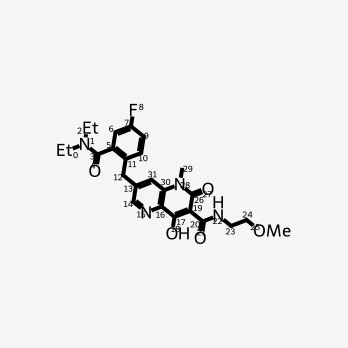 CCN(CC)C(=O)c1cc(F)ccc1Cc1cnc2c(O)c(C(=O)NCCOC)c(=O)n(C)c2c1